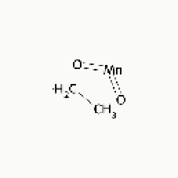 [CH2]C.[O]=[Mn]=[O]